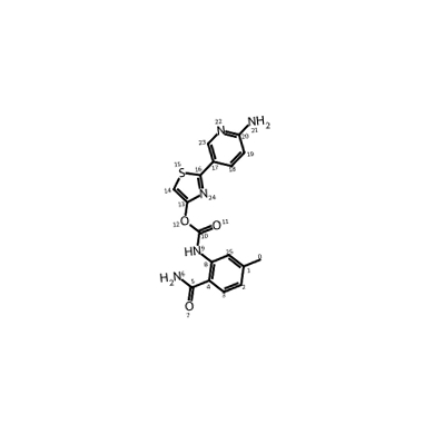 Cc1ccc(C(N)=O)c(NC(=O)Oc2csc(-c3ccc(N)nc3)n2)c1